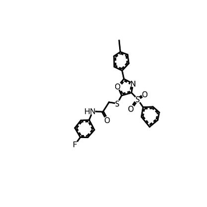 Cc1ccc(-c2nc(S(=O)(=O)c3ccccc3)c(SCC(=O)Nc3ccc(F)cc3)o2)cc1